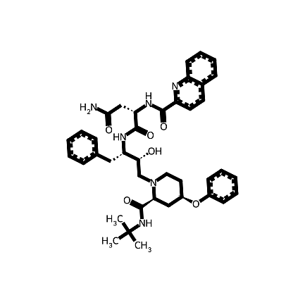 CC(C)(C)NC(=O)[C@@H]1C[C@H](Oc2ccccc2)CCN1C[C@@H](O)[C@H](Cc1ccccc1)NC(=O)[C@H](CC(N)=O)NC(=O)c1ccc2ccccc2n1